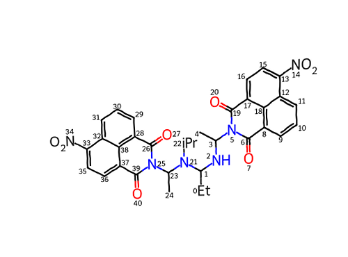 CCC(NC(C)N1C(=O)c2cccc3c([N+](=O)[O-])ccc(c23)C1=O)N(C(C)C)C(C)N1C(=O)c2cccc3c([N+](=O)[O-])ccc(c23)C1=O